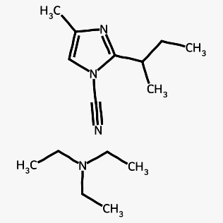 CCC(C)c1nc(C)cn1C#N.CCN(CC)CC